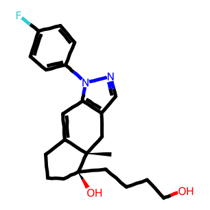 C[C@]12Cc3cnn(-c4ccc(F)cc4)c3C=C1CCC[C@@]2(O)CCCCO